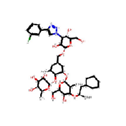 CC(=O)NC1CC(CO[C@H]2OC(CO)[C@@H](O)C(n3cc(-c4cccc(F)c4)nn3)C2O)C[C@@H](O[C@@H]2OC(CO)[C@H](O)C(O[C@@H](CC3CCCCC3)C(=O)O)C2NC(C)=O)C1O[C@@H]1OC(C)[C@@H](O)C(O)C1O